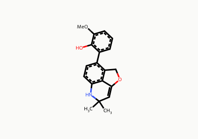 COc1cccc(-c2ccc3c4c2COC4=CC(C)(C)N3)c1O